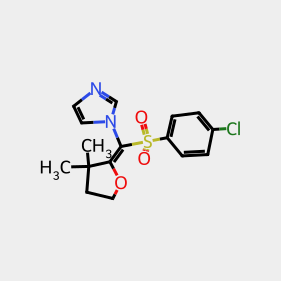 CC1(C)CCOC1=C(n1ccnc1)S(=O)(=O)c1ccc(Cl)cc1